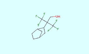 OCC(C1CC2CCC1C2)(C(F)(F)F)C(F)(F)F